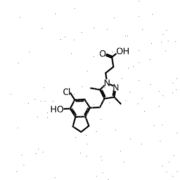 Cc1nn(CCC(=O)O)c(C)c1Cc1cc(Cl)c(O)c2c1CCC2